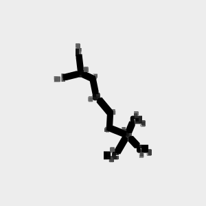 C[Si](C)(C)CCOCB(F)I